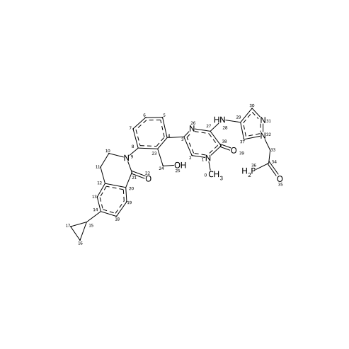 Cn1cc(-c2cccc(N3CCc4cc(C5CC5)ccc4C3=O)c2CO)nc(Nc2cnn(CC(=O)P)c2)c1=O